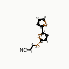 N#CCCSc1ccc(-c2cccs2)s1